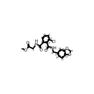 COC(=O)CNC(=O)c1cccc(Cl)c1C(=O)NCc1ccc2c(c1)OCO2